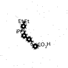 CCC(CC)c1ccc(N(Cc2cccc(-c3ccc(CSc4cccc(C(=O)O)c4)cc3)c2)C(C)C)cc1